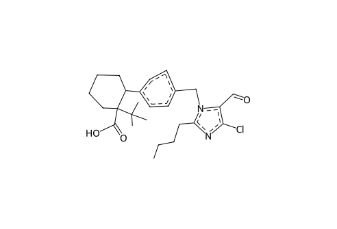 CCCCc1nc(Cl)c(C=O)n1Cc1ccc(C2CCCCC2(C(=O)O)C(C)(C)C)cc1